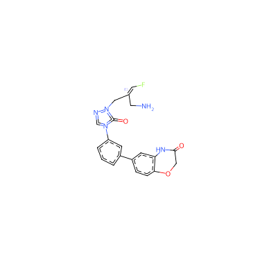 NC/C(=C\F)Cn1ncn(-c2cccc(-c3ccc4c(c3)NC(=O)CO4)c2)c1=O